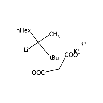 O=C([O-])CC(=O)[O-].[K+].[K+].[Li][C](C)(CCCCCC)C(C)(C)C